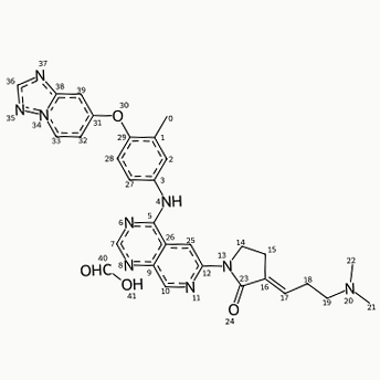 Cc1cc(Nc2ncnc3cnc(N4CC/C(=C\CCN(C)C)C4=O)cc23)ccc1Oc1ccn2ncnc2c1.O=CO